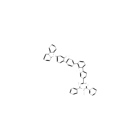 C1=CC2c3ccccc3N(c3ccc4c(c3)oc3cc(-c5cccc6c5oc5cc(C7=NC(c8ccccc8)NC(c8ccccc8)=N7)ccc56)ccc34)C2C=C1